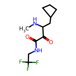 CNC(CC1CCC1)C(=O)C(=O)NCC(F)(F)F